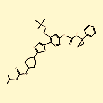 CC(C)OC(=O)NC1CCC(c2ncc(-c3ccc(NC(=O)NC4(c5ccccc5)CC4)cc3SNC(C)(C)C)s2)CC1